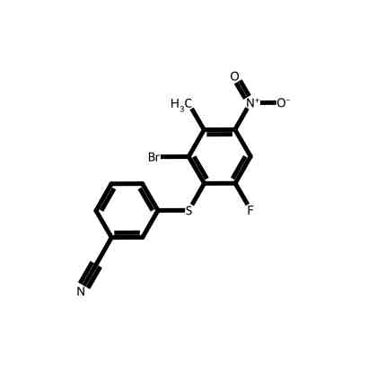 Cc1c([N+](=O)[O-])cc(F)c(Sc2cccc(C#N)c2)c1Br